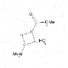 CNC1CC(C(=O)OC)C1.Cl